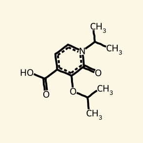 CC(C)Oc1c(C(=O)O)ccn(C(C)C)c1=O